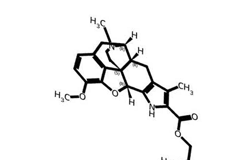 COc1ccc2c3c1O[C@H]1c4[nH]c(C(=O)OCC(C)C)c(C)c4C[C@H]4[C@@H](C2)N(C)CC[C@]314